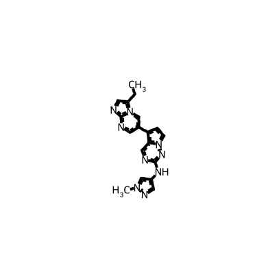 CCc1cnc2ncc(-c3ccn4nc(Nc5cnn(C)c5)ncc34)cn12